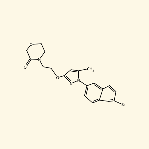 Cc1cc(OCCN2CCOCC2=O)nn1-c1ccc2cc(Br)ccc2c1